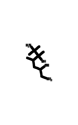 CC(CC(O)CN)C(C)(O)C(C)(C)N